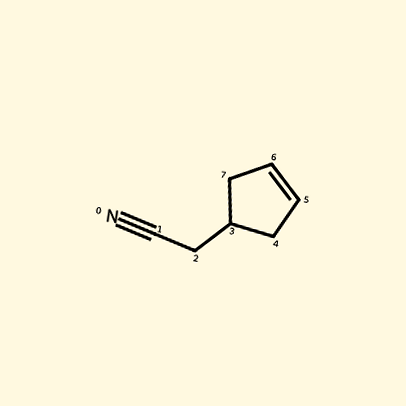 N#CCC1CC=CC1